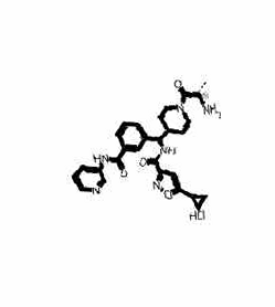 C[C@H](N)C(=O)N1CCC(C(NC(=O)c2cc(C3CC3)on2)c2cccc(C(=O)Nc3cccnc3)c2)CC1.Cl